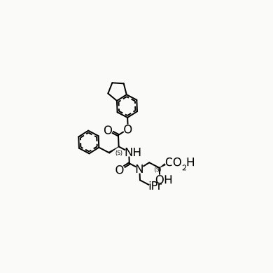 CC(C)CN(C[C@H](O)C(=O)O)C(=O)N[C@@H](Cc1ccccc1)C(=O)Oc1ccc2c(c1)CCC2